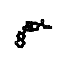 CNC(=O)C1(NCc2cc3c(cn2)OCCO3)CCN(C(=O)OCC(C)C)CC1